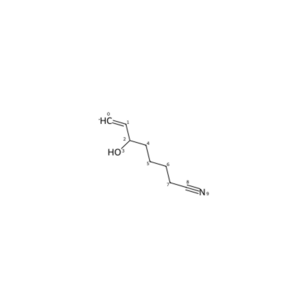 [CH]=CC(O)CCCCC#N